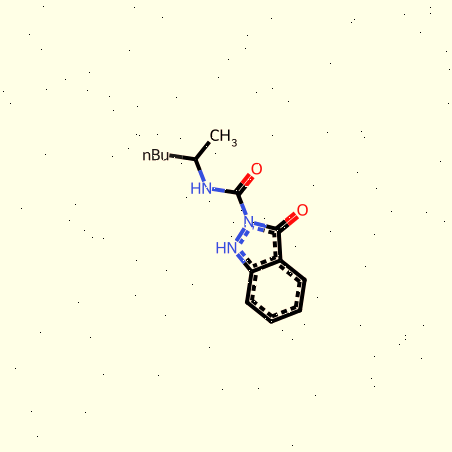 CCCCC(C)NC(=O)n1[nH]c2ccccc2c1=O